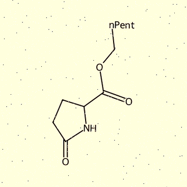 CCCCCCOC(=O)C1CCC(=O)N1